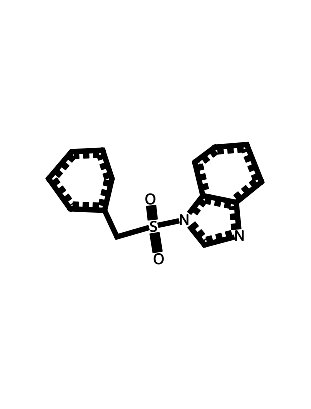 O=S(=O)(Cc1ccccc1)n1cnc2ccccc21